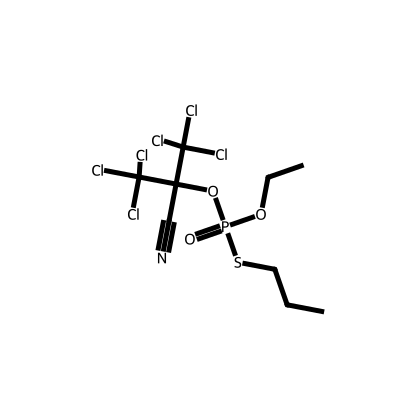 CCCSP(=O)(OCC)OC(C#N)(C(Cl)(Cl)Cl)C(Cl)(Cl)Cl